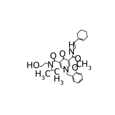 COc1ccccc1Cn1cc(C(=O)NCCC2=CCCCC2)c(=O)c(C(=O)N(CCO)C(C)C)c1